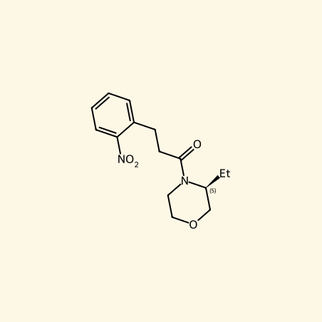 CC[C@H]1COCCN1C(=O)CCc1ccccc1[N+](=O)[O-]